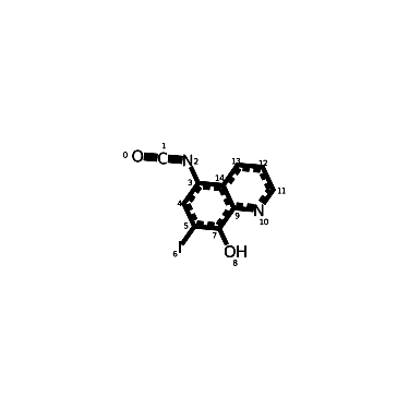 O=C=Nc1cc(I)c(O)c2ncccc12